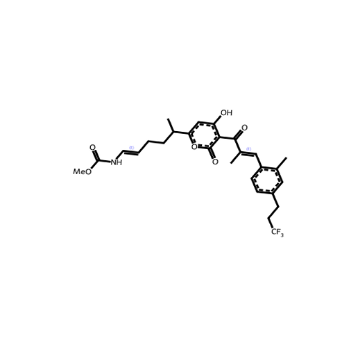 COC(=O)N/C=C/CCC(C)c1cc(O)c(C(=O)/C(C)=C/c2ccc(CCC(F)(F)F)cc2C)c(=O)o1